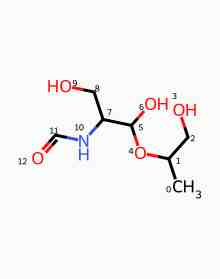 CC(CO)OC(O)C(CO)NC=O